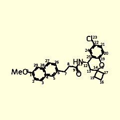 COc1ccc2cc(CCC(=O)N[C@@H]3CC4(CCC4)Oc4ccc(Cl)cc43)ccc2c1